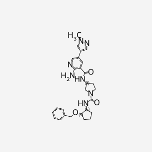 Cn1cc(-c2cnc(N)c(C(=O)N[C@@H]3CCN(C(=O)N[C@H]4CCC[C@@H]4OCc4ccccc4)C3)c2)cn1